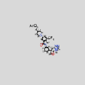 CC(=O)OCCC1CCN(c2cc3c(c(C(F)(F)F)c2)CN(c2cccc(C4(Cc5nncn5C)COC4)c2)C3=O)CC1